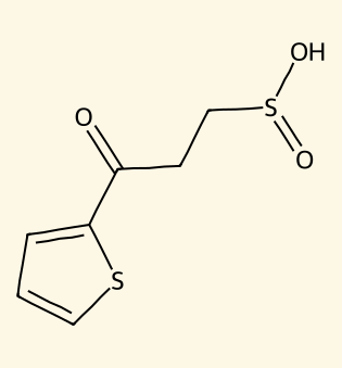 O=C(CCS(=O)O)c1cccs1